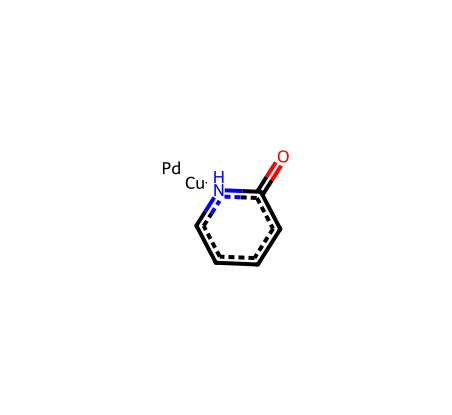 O=c1cccc[nH]1.[Cu].[Pd]